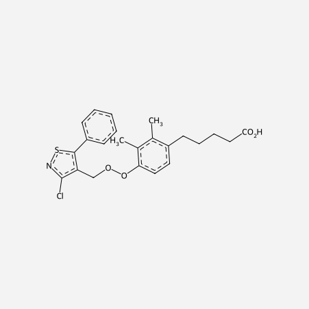 Cc1c(CCCCC(=O)O)ccc(OOCc2c(Cl)nsc2-c2ccccc2)c1C